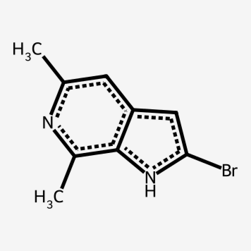 Cc1cc2cc(Br)[nH]c2c(C)n1